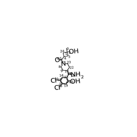 CC1(O)CC(C(=O)N2CCC([C@@H](N)c3cc(Cl)c(Cl)cc3O)CC2)C1